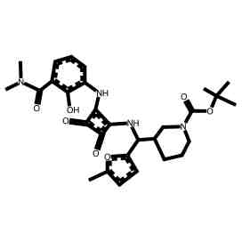 Cc1ccc(C(Nc2c(Nc3cccc(C(=O)N(C)C)c3O)c(=O)c2=O)C2CCCN(C(=O)OC(C)(C)C)C2)o1